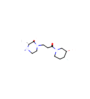 C[C@H]1C(=O)N(CCC(=O)N2CC[C@@H](F)[C@H](O)C2)CCN1C(=O)O